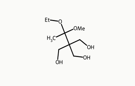 CCOC(C)(OC)C(CO)(CO)CO